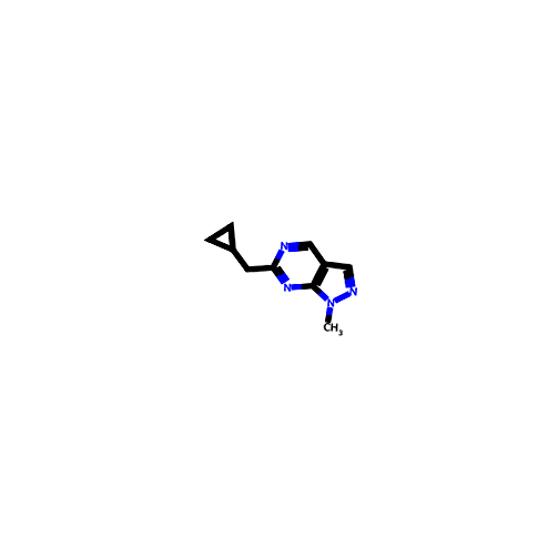 Cn1ncc2cnc(CC3CC3)nc21